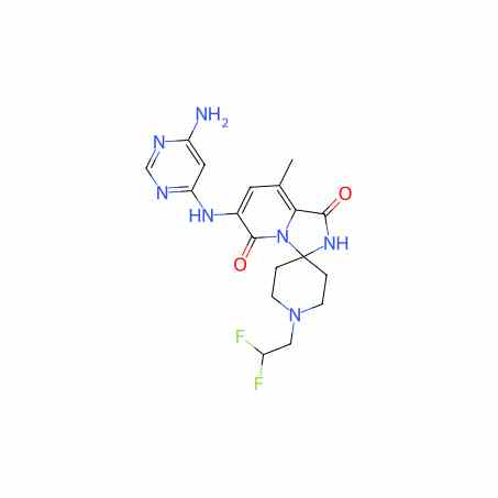 Cc1cc(Nc2cc(N)ncn2)c(=O)n2c1C(=O)NC21CCN(CC(F)F)CC1